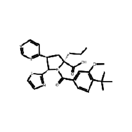 CCC[C@@]1(C(=O)O)C[C@H](c2ccncn2)[C@H](c2nccs2)N1C(=O)c1ccc(C(C)(C)C)c(OC)c1